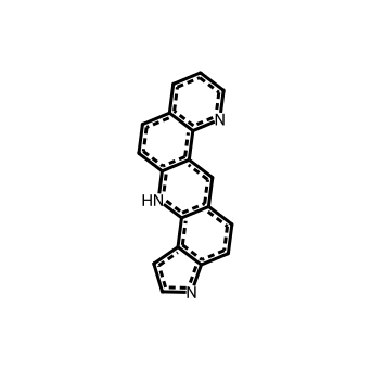 c1cnc2c(c1)ccc1[nH]c3c(ccc4nccc43)cc12